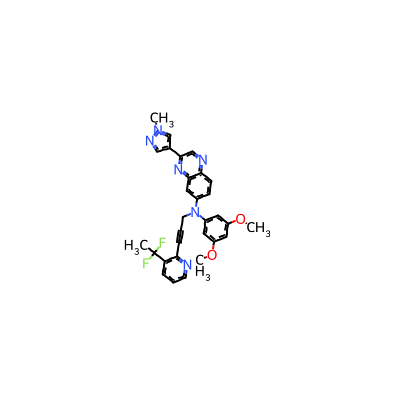 COc1cc(OC)cc(N(CC#Cc2ncccc2C(C)(F)F)c2ccc3ncc(-c4cnn(C)c4)nc3c2)c1